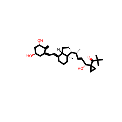 C=C1/C(=C\C=C2/CCC[C@]3(C)[C@@H]([C@H](C)/C=C/[C@@H](O)C4(C(=O)C(C)(C)C)CC4)CC[C@@H]23)C[C@@H](O)C[C@@H]1O